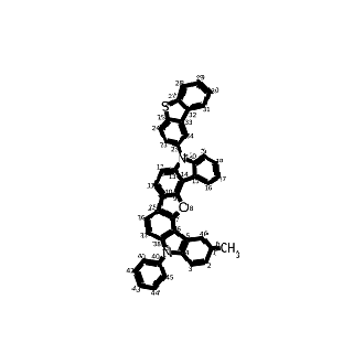 CC1C=Cc2c(c3c4oc5c(ccc6c5c5ccccc5n6-c5ccc6sc7ccccc7c6c5)c4ccc3n2-c2ccccc2)C1